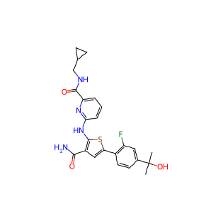 CC(C)(O)c1ccc(-c2cc(C(N)=O)c(Nc3cccc(C(=O)NCC4CC4)n3)s2)c(F)c1